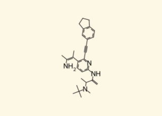 C=C(Nc1ccc(/C(C)=C(/C)N)c(C#Cc2ccc3c(c2)CCC3)n1)C(C)N(C)C(C)(C)C